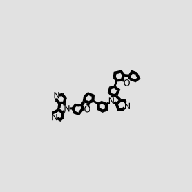 c1cc(-c2cccc3c2oc2ccc(-n4c5ccncc5c5cnccc54)cc23)cc(-n2c3ccncc3c3cc(-c4cccc5c4oc4ccccc45)ccc32)c1